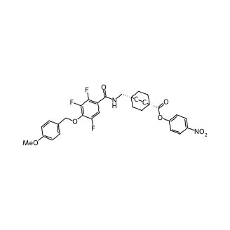 COc1ccc(COc2c(F)cc(C(=O)NC[C@]34CC[C@](C(=O)Oc5ccc([N+](=O)[O-])cc5)(CC3)CC4)c(F)c2F)cc1